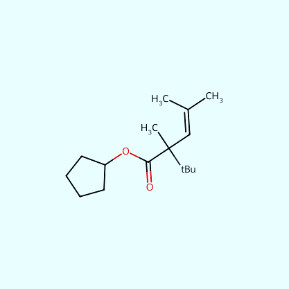 CC(C)=CC(C)(C(=O)OC1CCCC1)C(C)(C)C